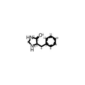 O=C1NCNC1Cc1ccccc1